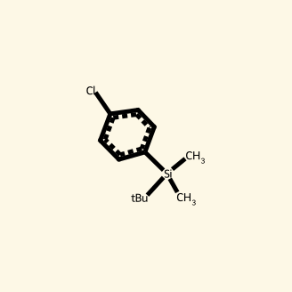 CC(C)(C)[Si](C)(C)c1ccc(Cl)cc1